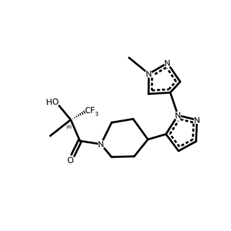 Cn1cc(-n2nccc2C2CCN(C(=O)[C@@](C)(O)C(F)(F)F)CC2)cn1